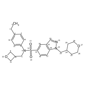 CCc1ccc(N(CC2COC2)S(=O)(=O)c2ccc3c(cnn3CC3CCOCC3)c2)cc1